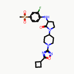 CS(=O)(=O)c1ccc(NC2CCN(C3CCN(c4noc(C5CCC5)n4)CC3)C2=O)c(F)c1